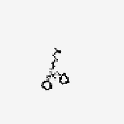 C=C(C)COCCOP(=O)(Oc1ccccc1)Oc1ccccc1